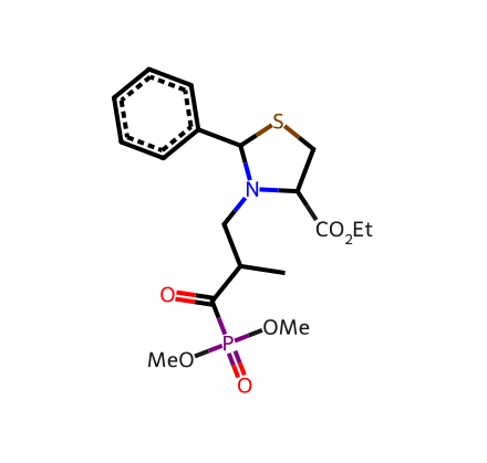 CCOC(=O)C1CSC(c2ccccc2)N1CC(C)C(=O)P(=O)(OC)OC